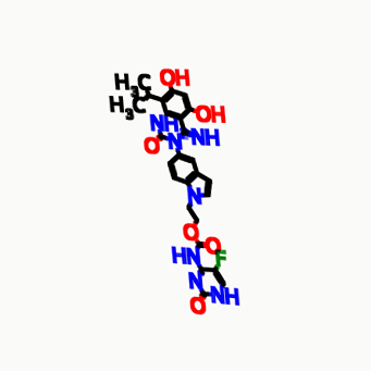 CC(C)c1cc(C(=N)N(C(N)=O)c2ccc3c(ccn3CCOC(=O)Nc3nc(=O)[nH]cc3F)c2)c(O)cc1O